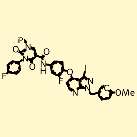 COc1ccc(Cn2nc(I)c3c(Oc4ccc(NC(=O)c5cn(C(C)C)c(=O)n(-c6ccc(F)cc6)c5=O)cc4F)ccnc32)cc1